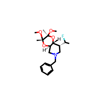 CO[C@@]1(C)O[C@H]2[C@@H](CN(Cc3ccccc3)C[C@H]2C(C)F)O[C@]1(C)OC